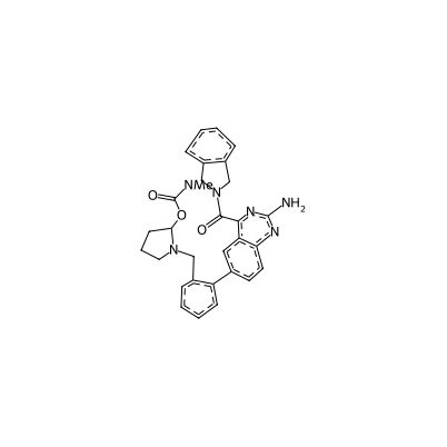 CNC(=O)OC1CCCN1Cc1ccccc1-c1ccc2nc(N)nc(C(=O)N3Cc4ccccc4C3)c2c1